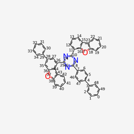 c1ccc(-c2ccc(-c3nc(-c4cccc5c4oc4ccccc45)nc(-c4cc(-c5ccccc5)cc5oc6ccccc6c45)n3)cc2)cc1